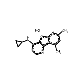 Cc1cc(C)c2c(n1)oc1c(NC3CC3)ncnc12.Cl